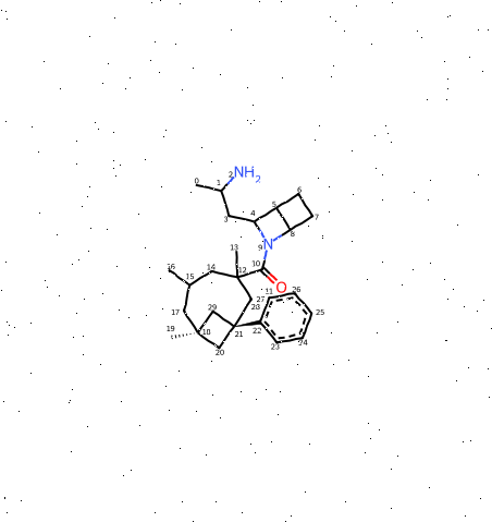 CC(N)CC1C2CCC2N1C(=O)C1(C)CC(C)C[C@]2(C)C[C@@](c3ccccc3)(C1)C2